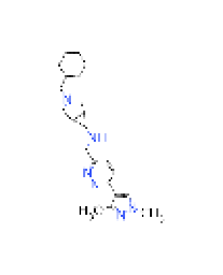 Cc1nn(C)cc1-c1ccc(CNC2C3CN(CC4CCCCC4)CC32)nn1